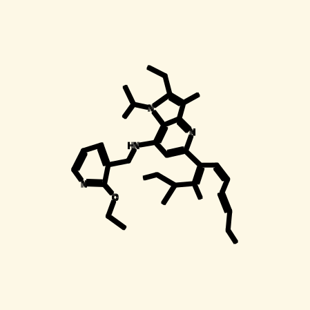 CC/C=C/C=C\C(=C(/C)C(C)CC)c1cc(NCc2cccnc2OCC)c2c(n1)c(C)c(CC)n2C(C)C